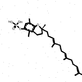 CC(C)=CCC/C(C)=C/CC/C(C)=C/CC[C@]1(C)CCc2c(C)c(OP(=O)(O)O)cc(C)c2O1